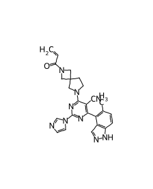 C=CC(=O)N1CC2(CCN(c3nc(-n4ccnc4)nc(-c4c(C)ccc5[nH]ncc45)c3C#N)C2)C1